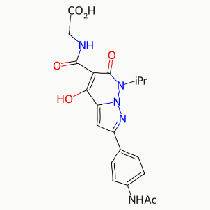 CC(=O)Nc1ccc(-c2cc3c(O)c(C(=O)NCC(=O)O)c(=O)n(C(C)C)n3n2)cc1